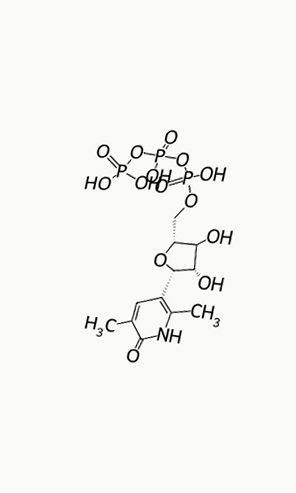 Cc1[nH]c(=O)c(C)cc1[C@@H]1O[C@H](COP(=O)(O)OP(=O)(O)OP(=O)(O)O)C(O)[C@@H]1O